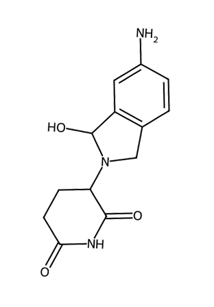 Nc1ccc2c(c1)C(O)N(C1CCC(=O)NC1=O)C2